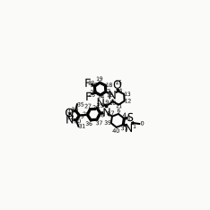 Cc1nc2c(s1)CC(n1c(C3CCCC(=O)N3c3ccc(F)c(F)c3)nc3cc(-c4c(C)noc4C)ccc31)CC2